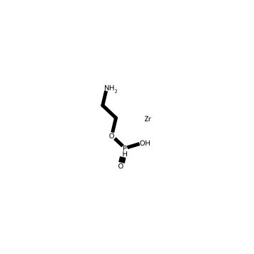 NCCO[PH](=O)O.[Zr]